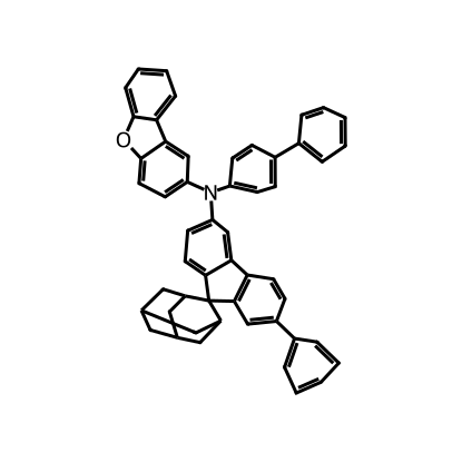 c1ccc(-c2ccc(N(c3ccc4c(c3)-c3ccc(-c5ccccc5)cc3C43C4CC5CC(C4)CC3C5)c3ccc4oc5ccccc5c4c3)cc2)cc1